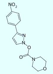 O=C(On1ccc(-c2ccc([N+](=O)[O-])cc2)n1)N1CCOCC1